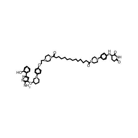 Nc1nnc(-c2ccccc2O)cc1OC1CCCN(c2ccc(OCCN3CCN(C(=O)CCCCCCCCCCCCC(=O)N4CCN(c5ccc(NC6CCC(=O)NC6=O)cc5)CC4)CC3)cc2)C1